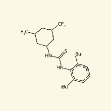 CCC(C)c1cccc(C(C)CC)c1NC(=S)NC1CC(C(F)(F)F)CC(C(F)(F)F)C1